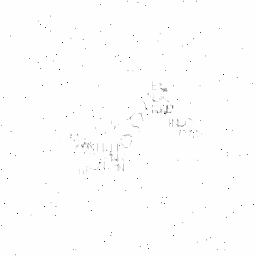 CCCN(Cc1ncc(-c2ccc3c(c2)COCc2cc(-c4cnc([C@@H]5[C@H](CC)CCN5C(=O)CNC(=O)OC)[nH]4)ccc2-3)[nH]1)C(=O)CNC(=O)OC